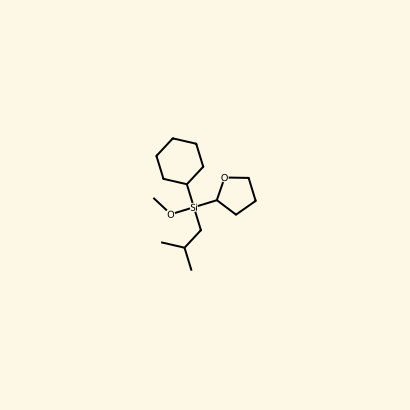 CO[Si](CC(C)C)(C1CCCCC1)C1CCCO1